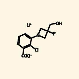 O=C([O-])c1cccc(N2CC(F)(CO)C2)c1Cl.[Li+]